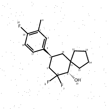 Cc1cc([C@@H]2CC(F)(F)[C@@H](O)C3(CCCC3)C2)ccc1F